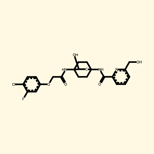 O=C(COc1ccc(Cl)c(F)c1)NC12CCC(NC(=O)c3cccc(CO)n3)(CC1)CC2O